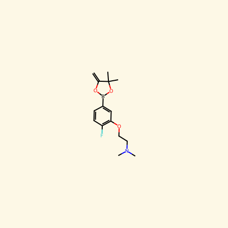 C=C1OB(c2ccc(F)c(OCCN(C)C)c2)OC1(C)C